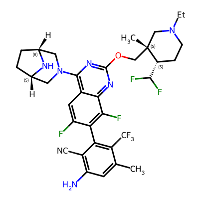 CCN1CC[C@H](C(F)F)[C@](C)(COc2nc(N3C[C@H]4CC[C@@H](C3)N4)c3cc(F)c(-c4c(C#N)c(N)cc(C)c4C(F)(F)F)c(F)c3n2)C1